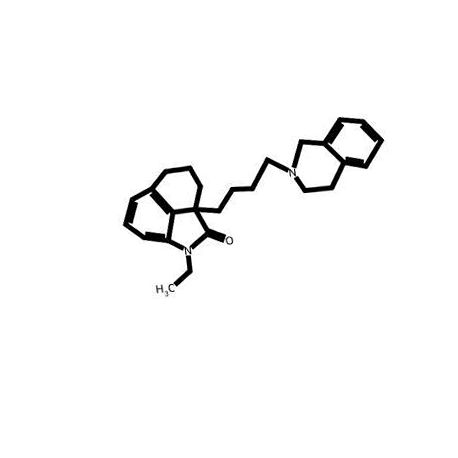 CCN1C(=O)C2(CCCCN3CCc4ccccc4C3)CCCc3cccc1c32